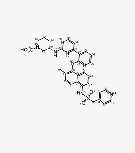 Cc1ccc2c(NS(=O)(=O)Cc3ccncc3)cccc2c1Oc1ncccc1-c1ccnc(N[C@H]2CCCN(C(=O)O)C2)n1